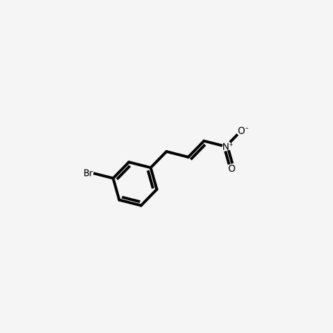 O=[N+]([O-])C=CCc1cccc(Br)c1